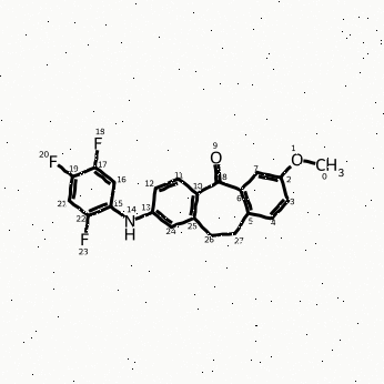 COc1ccc2c(c1)C(=O)c1ccc(Nc3cc(F)c(F)cc3F)cc1CC2